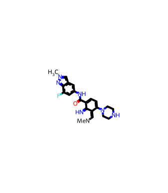 CN/C=C1\C(=N)C(C(=O)Nc2cc(F)c3nn(C)cc3c2)=CC=C1N1CCNCC1